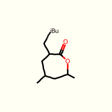 CCC(C)CC1CC(C)CC(C)OC1=O